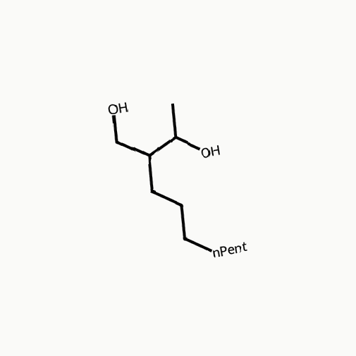 CCCCCCCCC(CO)C(C)O